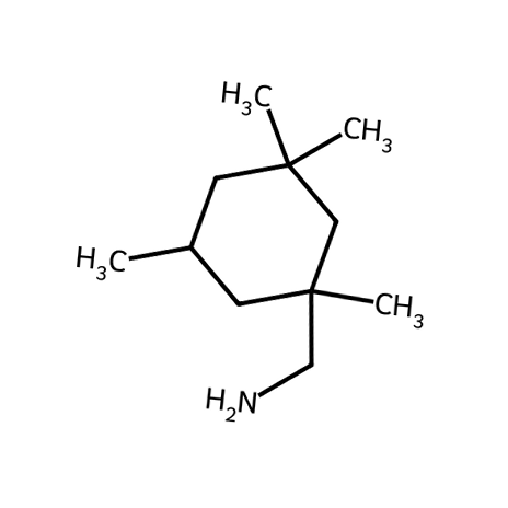 CC1CC(C)(C)CC(C)(CN)C1